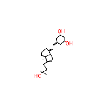 CC(C)(O)CCC1=CCC2/C(=C/C=C3/CC(O)C[C@H](O)C3)CCC[C@]12C